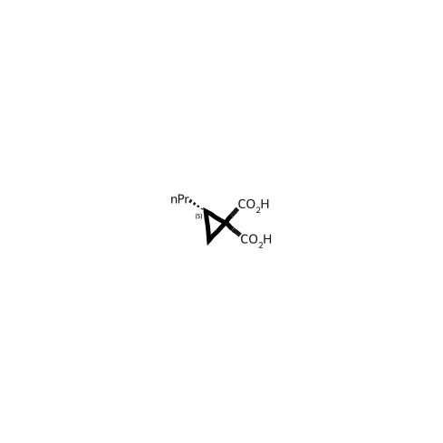 CCC[C@H]1CC1(C(=O)O)C(=O)O